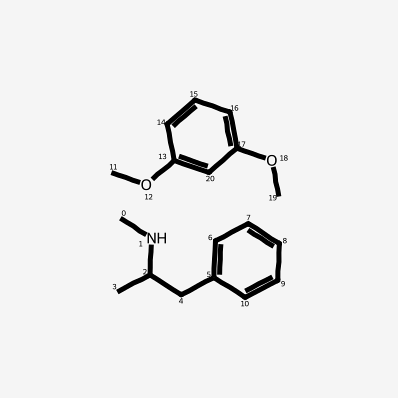 CNC(C)Cc1ccccc1.COc1cccc(OC)c1